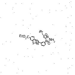 CCOC(=O)c1ccc2c(c1)sc1nc(-c3cccc(N(C(N)=O)c4cc(CC(C)C)on4)c3)cn12